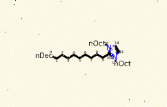 CCCCCCCCCCCCCCCCCCCc1n(CCCCCCCC)cc[n+]1CCCCCCCC